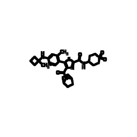 Cc1cc(NC2(C)CCC2)ncc1-c1sc(C(=O)NC2CCS(=O)(=O)CC2)nc1C(=O)N1C2CCC1CC2